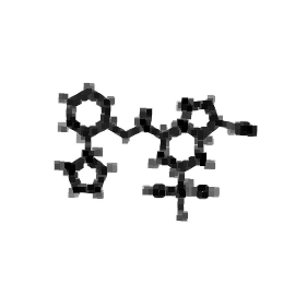 CC(C)(C)c1cnn2c(NCc3ccccc3-n3cccn3)nc(S(C)(=O)=O)nc12